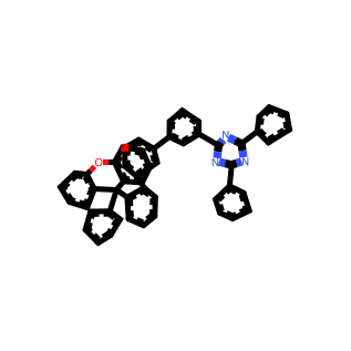 c1ccc(-c2nc(-c3ccccc3)nc(-c3cccc(-c4cccc(-c5ccccc5C5(c6ccccc6)c6ccccc6Oc6ccccc65)c4)c3)n2)cc1